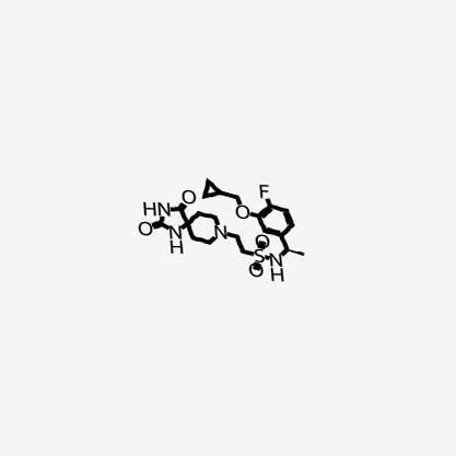 C[C@@H](NS(=O)(=O)CCN1CCC2(CC1)NC(=O)NC2=O)c1ccc(F)c(OCC2CC2)c1